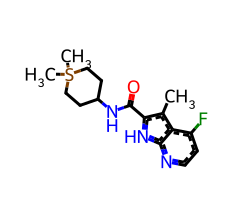 Cc1c(C(=O)NC2CCS(C)(C)CC2)[nH]c2nccc(F)c12